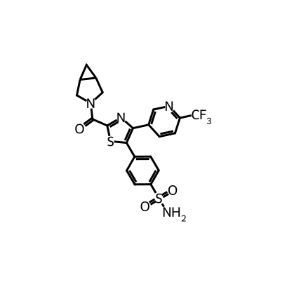 NS(=O)(=O)c1ccc(-c2sc(C(=O)N3CC4CC4C3)nc2-c2ccc(C(F)(F)F)nc2)cc1